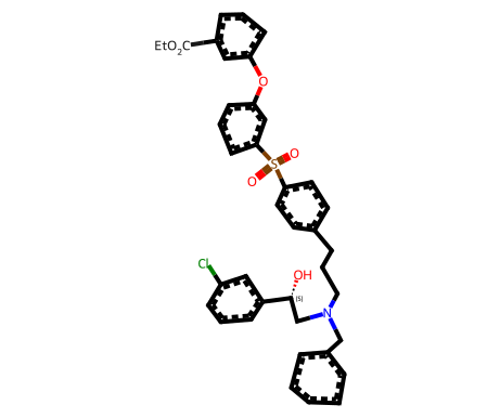 CCOC(=O)c1cccc(Oc2cccc(S(=O)(=O)c3ccc(CCCN(Cc4ccccc4)C[C@@H](O)c4cccc(Cl)c4)cc3)c2)c1